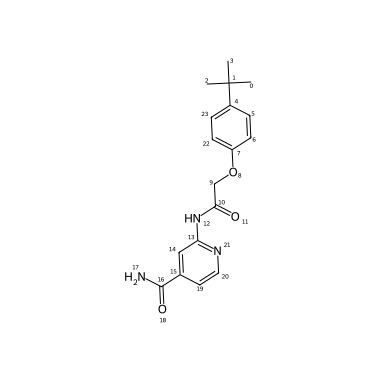 CC(C)(C)c1ccc(OCC(=O)Nc2cc(C(N)=O)ccn2)cc1